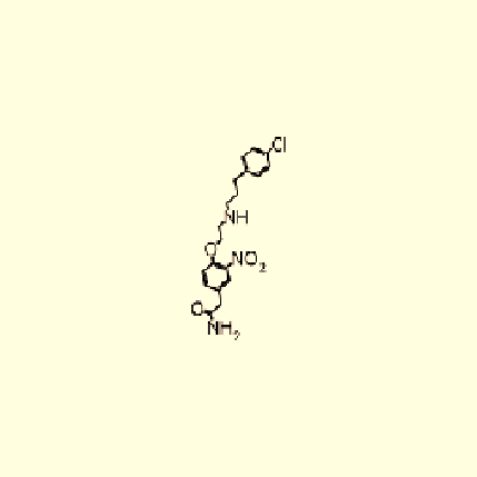 NC(=O)Cc1ccc(OCCNCCCc2ccc(Cl)cc2)c([N+](=O)[O-])c1